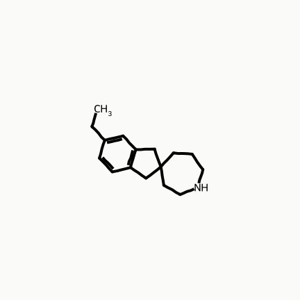 CCc1ccc2c(c1)CC1(CCCNCC1)C2